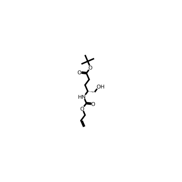 C=CCOC(=O)N[C@@H](CO)CCC(=O)OC(C)(C)C